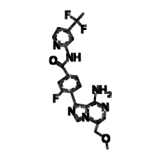 COCc1cnc(N)c2c(-c3ccc(C(=O)Nc4cc(C(C)(F)F)ccn4)cc3F)ncn12